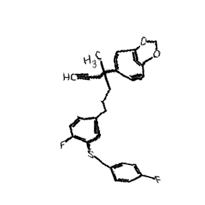 C#CC(C)(CCCc1ccc(F)c(Sc2ccc(F)cc2)c1)c1ccc2c(c1)OCO2